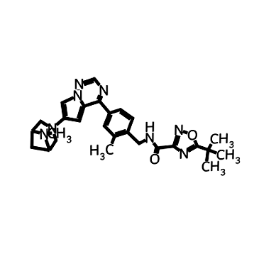 Cc1cc(-c2ncnn3cc(N4CC5CC(C4)N5C)cc23)ccc1CNC(=O)c1noc(C(C)(C)C)n1